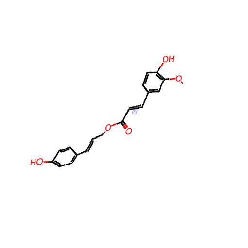 COc1cc(/C=C/C(=O)OCC=Cc2ccc(O)cc2)ccc1O